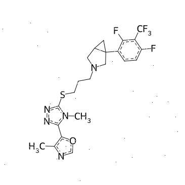 Cc1ncoc1-c1nnc(SCCCN2CC3CC3(c3ccc(F)c(C(F)(F)F)c3F)C2)n1C